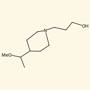 COC(C)C1CCN(CCCO)CC1